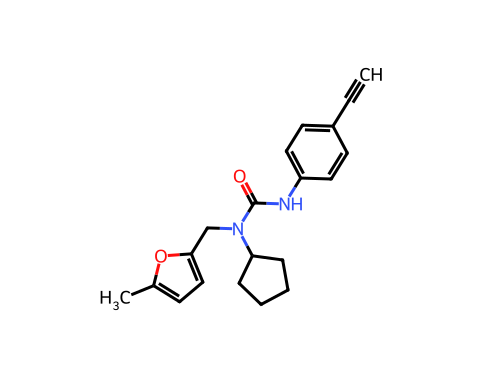 C#Cc1ccc(NC(=O)N(Cc2ccc(C)o2)C2CCCC2)cc1